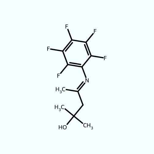 C/C(CC(C)(C)O)=N\c1c(F)c(F)c(F)c(F)c1F